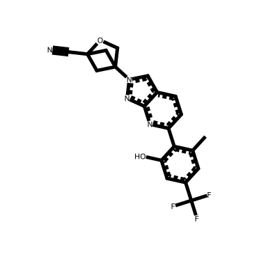 Cc1cc(C(F)(F)F)cc(O)c1-c1ccc2cn(C34COC(C#N)(C3)C4)nc2n1